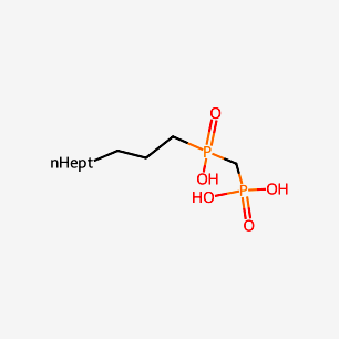 CCCCCCCCCCP(=O)(O)CP(=O)(O)O